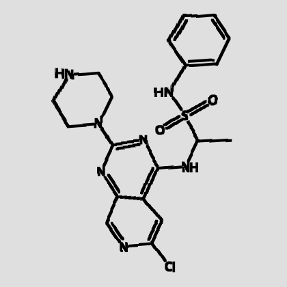 CC(Nc1nc(N2CCNCC2)nc2cnc(Cl)cc12)S(=O)(=O)Nc1ccccc1